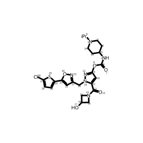 CC(C)N1CCC(NC(=O)Oc2cc(C(=O)N3CC(O)C3)n(Cc3cc(-c4ccc(Cl)s4)on3)n2)CC1